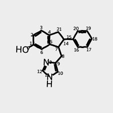 Oc1ccc2c(c1)C(Cc1c[nH]cn1)C(c1ccccc1)C2